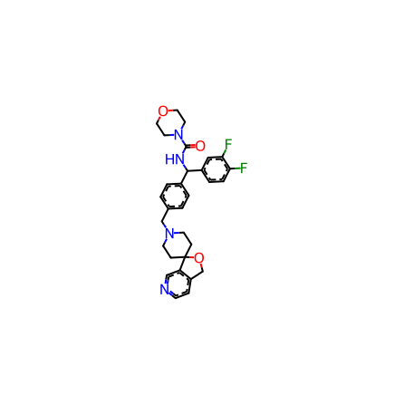 O=C(NC(c1ccc(CN2CCC3(CC2)OCc2ccncc23)cc1)c1ccc(F)c(F)c1)N1CCOCC1